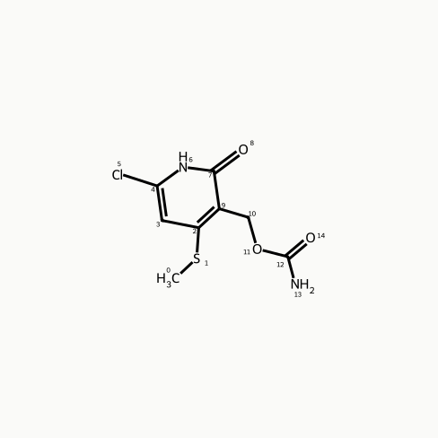 CSc1cc(Cl)[nH]c(=O)c1COC(N)=O